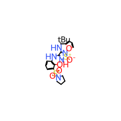 CC(C)(C)[C@@H](Nc1n[s+]([O-])nc1Nc1cccc(S(=O)(=O)N2CCCC2)c1O)c1ccco1